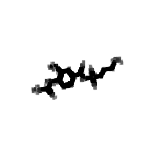 CCCCS(=O)(=O)NC(=O)c1ccc(NC(C)=O)c(N)c1